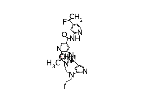 C=C(F)c1ccnc(NC(=O)c2cnc(C)c(-n3cc4n3N(C(C)C)CCN(CCI)c3cncc-4c3)c2)c1